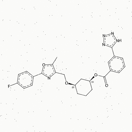 Cc1oc(-c2ccc(F)cc2)nc1CO[C@@H]1CCC[C@H](OC(=O)c2cccc(-c3nnn[nH]3)c2)C1